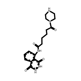 O=C(CCCCC(=O)N1CCNCC1)Nc1cccc2c(=O)[nH][nH]c(=O)c12